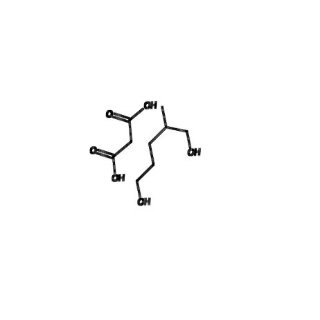 CC(CO)CCCO.O=C(O)CC(=O)O